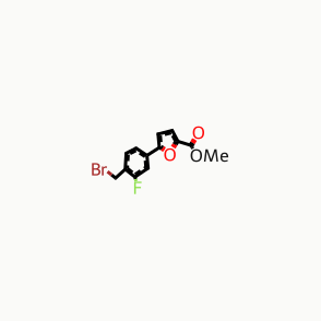 COC(=O)c1ccc(-c2ccc(CBr)c(F)c2)o1